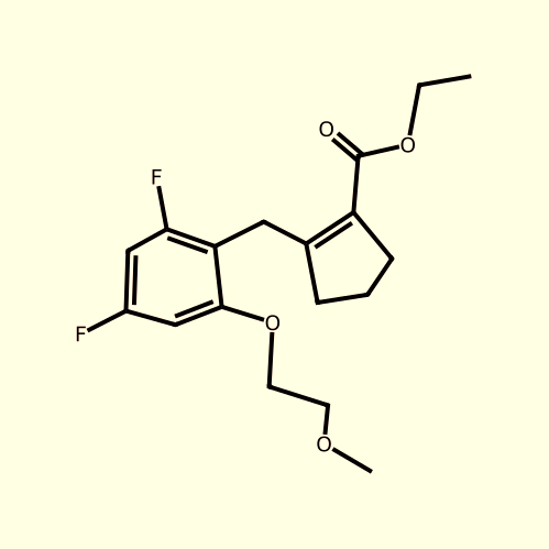 CCOC(=O)C1=C(Cc2c(F)cc(F)cc2OCCOC)CCC1